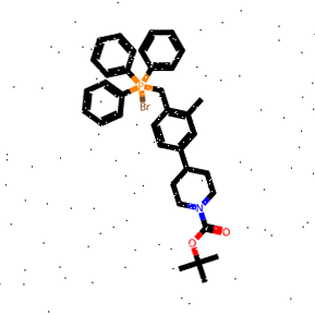 Cc1cc(C2CCN(C(=O)OC(C)(C)C)CC2)ccc1CP(Br)(c1ccccc1)(c1ccccc1)c1ccccc1